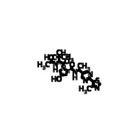 CC(=O)N[C@H](C(=O)N1C[C@H](O)C[C@H]1C(=O)NC(C)c1cnc(-c2scnc2C)nc1)C(C)(C)C